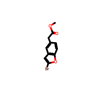 COC(=O)Cc1ccc2oc(Br)cc2c1